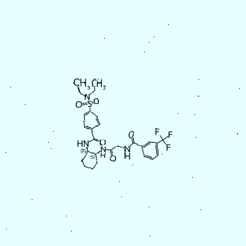 CCN(CC)S(=O)(=O)c1ccc(C(=O)N[C@@H]2CCCC[C@@H]2NC(=O)CNC(=O)c2cccc(C(F)(F)F)c2)cc1